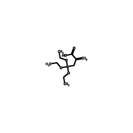 C=C(C[Si](OCC)(OCC)OCC)C(=O)O